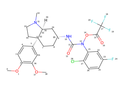 COc1ccc([C@@]23CC[C@@H](NC(=O)N(OC(=O)C(F)(F)F)c4cc(F)ccc4Cl)C[C@@H]2N(C)CC3)cc1OC